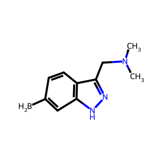 Bc1ccc2c(CN(C)C)n[nH]c2c1